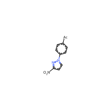 CC(=O)c1ccc(-n2ccc([N+](=O)[O-])n2)cc1